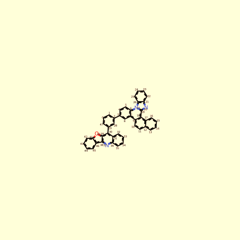 c1cc(-c2ccc3c(c2)c2ccc4ccccc4c2c2nc4ccccc4n32)cc(-c2c3ccccc3nc3c2oc2ccccc23)c1